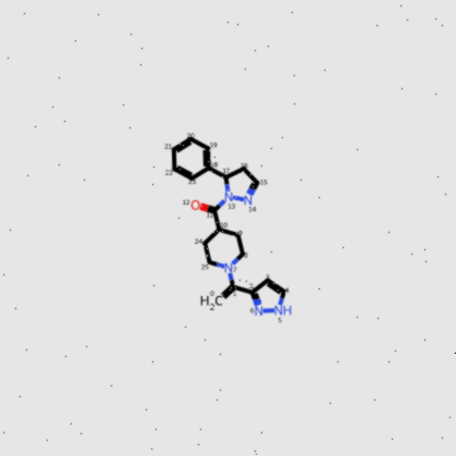 C=C(c1cc[nH]n1)N1CCC(C(=O)N2N=CCC2c2ccccc2)CC1